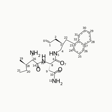 C=CC[C@H](CNC(=O)[C@H](CC(N)=O)NC(=O)[C@@H](N)[C@H](C)CC)Cc1cccc2ccccc12